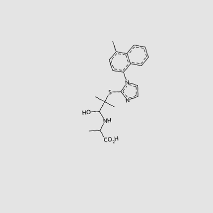 Cc1ccc(-n2ccnc2SC(C)(C)C(O)NC(C)C(=O)O)c2ccccc12